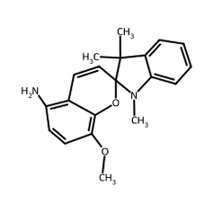 COc1ccc(N)c2c1OC1(C=C2)N(C)c2ccccc2C1(C)C